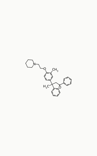 Cc1cc(C(C)(CC(=O)c2ccccc2)c2ccccc2)ccc1OCCN1CCCCC1